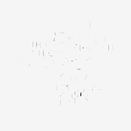 CC1=CC(C)(C)c2cc3c(cc21)-c1cc2c(cc1[CH]3[Zr+2]([C]1=C(C)C([Si](C)(C)C)=CC1C)=[C](c1ccc(C(C)(C)C)cc1)c1ccc(C(C)(C)C)cc1)C(C)(C)C=C2C.[Cl-].[Cl-]